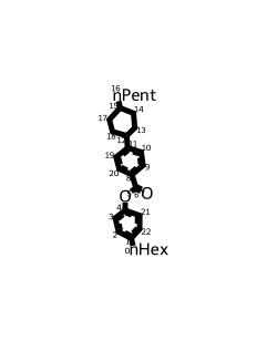 CCCCCCc1ccc(OC(=O)c2ccc(C3CCC(CCCCC)CC3)cc2)cc1